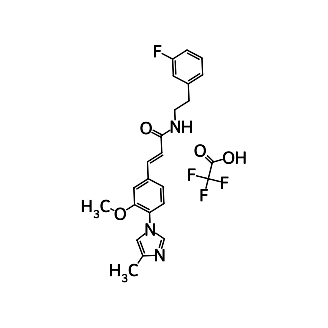 COc1cc(C=CC(=O)NCCc2cccc(F)c2)ccc1-n1cnc(C)c1.O=C(O)C(F)(F)F